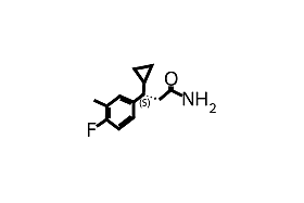 Cc1cc([C@@H](CC(N)=O)C2CC2)ccc1F